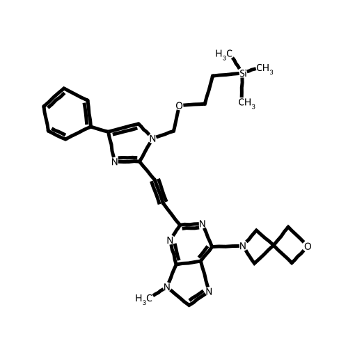 Cn1cnc2c(N3CC4(COC4)C3)nc(C#Cc3nc(-c4ccccc4)cn3COCC[Si](C)(C)C)nc21